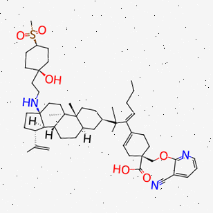 C=C(C)[C@@H]1CC[C@]2(NCC[C@]3(O)CC[C@@H](S(C)(=O)=O)CC3)CC[C@]3(C)[C@H](CC[C@@H]4C[C@H](C(C)(C)/C(=C\CCC)C5=CC[C@@](COc6ncccc6C#N)(C(=O)O)CC5)CC[C@]43C)[C@@H]12